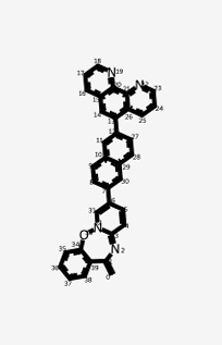 C=C1N=C2C=CC(c3ccc4cc(-c5cc6cccnc6c6ncccc56)ccc4c3)=CN2Oc2ccccc21